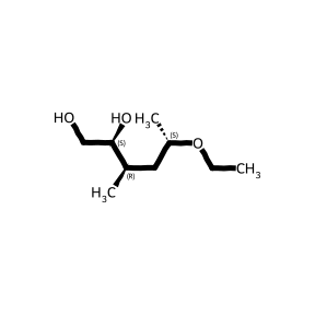 CCO[C@@H](C)C[C@@H](C)[C@H](O)CO